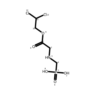 O=C(CNCP(=O)(O)O)OCC(Cl)Cl